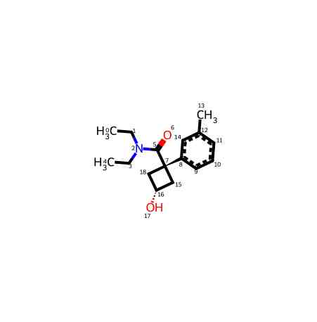 CCN(CC)C(=O)[C@]1(c2cccc(C)c2)C[C@H](O)C1